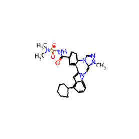 CN1N=CN2C1=Cn1c(cc3c(C4CCCCC4)cccc31)-c1cc(C(=O)NS(=O)(=O)N(C)C)ccc12